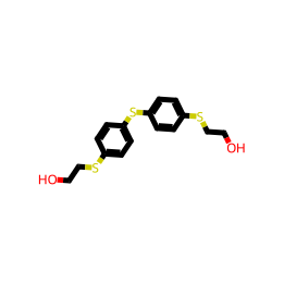 OCCSc1ccc(Sc2ccc(SCCO)cc2)cc1